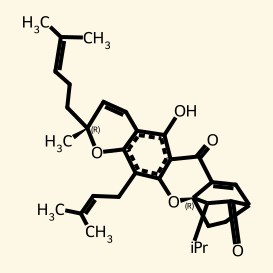 CC(C)=CCC[C@]1(C)C=Cc2c(O)c3c(c(CC=C(C)C)c2O1)O[C@@]12CCC(C=C1C3=O)C(=O)C2C(C)C